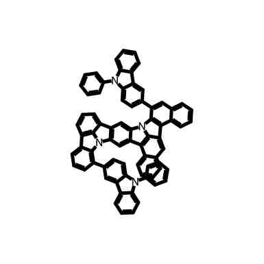 c1ccc(-n2c3ccccc3c3cc(-c4cccc5c6cccc7c8cc9c(cc8n(c45)c76)c4c5ccccc5cc5c6c7ccccc7cc(-c7ccc8c(c7)c7ccccc7n8-c7ccccc7)c6n9c54)ccc32)cc1